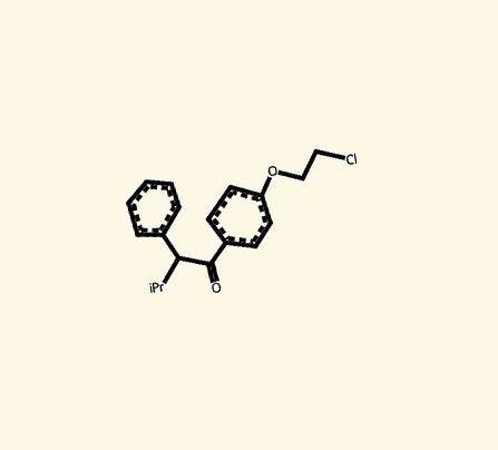 CC(C)C(C(=O)c1ccc(OCCCl)cc1)c1ccccc1